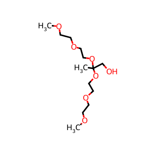 COCCOCCOC(C)(CO)OCCOCCOC